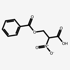 O=C(OCC(C(=O)O)[N+](=O)[O-])c1ccccc1